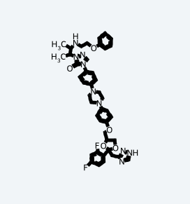 CC(NCCOc1ccccc1)C(C)n1ncn(-c2ccc(N3CCN(c4ccc(OCC5COC(Cc6nc[nH]n6)(c6ccc(F)cc6F)O5)cc4)CC3)cc2)c1=O